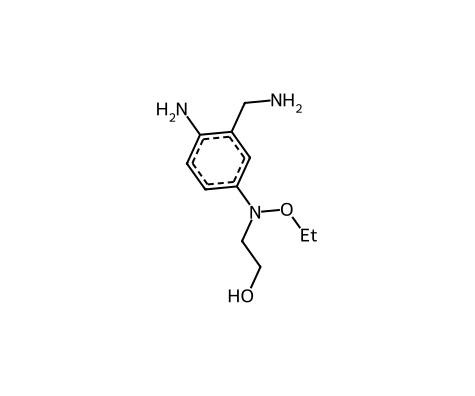 CCON(CCO)c1ccc(N)c(CN)c1